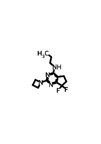 CCCNc1nc(N2CCC2)nc2c1CCC2(F)F